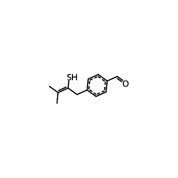 CC(C)=C(S)Cc1ccc(C=O)cc1